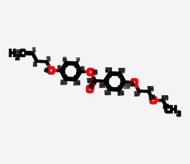 C=CCCOc1ccc(OC(=O)c2ccc(OCCOCC)cc2)cc1